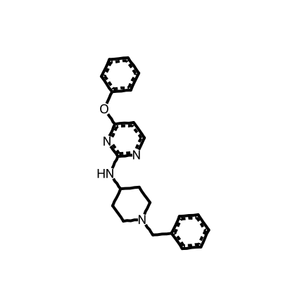 c1ccc(CN2CCC(Nc3nccc(Oc4ccccc4)n3)CC2)cc1